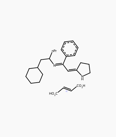 CCCC(CC1CCCCC1)N=C(C=C1CCCN1)c1ccccc1.O=C(O)/C=C/C(=O)O